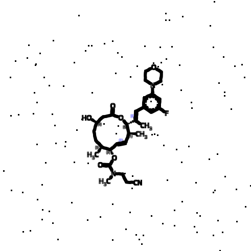 C/C(=C\c1cc(F)cc(N2CCOCC2)c1)[C@H]1OC(=O)C[C@H](O)CC[C@H](C)[C@@H](OC(=O)N(C)CCC#N)/C=C/[C@@H]1C